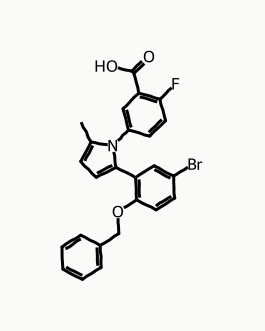 Cc1ccc(-c2cc(Br)ccc2OCc2ccccc2)n1-c1ccc(F)c(C(=O)O)c1